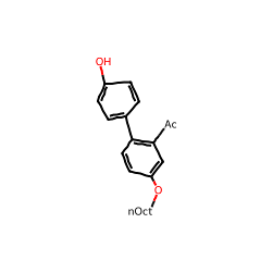 CCCCCCCCOc1ccc(-c2ccc(O)cc2)c(C(C)=O)c1